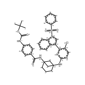 CC(C)(C)OC(=O)Nc1ccc(C(=O)NC23CCCC(Nc4ncc(Cl)c(-c5cn(S(=O)(=O)c6ccccc6)c6ccccc56)n4)(C2)C3)cc1